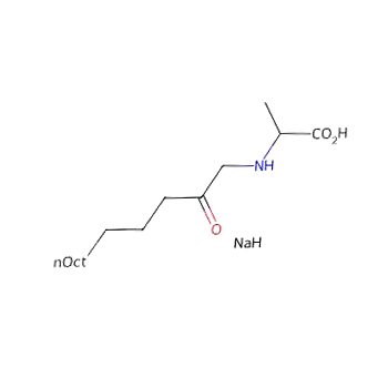 CCCCCCCCCCCC(=O)CNC(C)C(=O)O.[NaH]